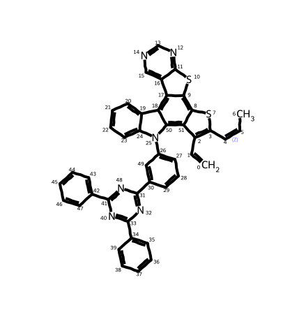 C=Cc1c(/C=C\C)sc2c3sc4ncncc4c3c3c4ccccc4n(-c4cccc(-c5nc(-c6ccccc6)nc(-c6ccccc6)n5)c4)c3c12